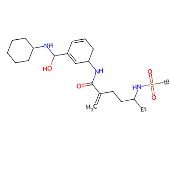 C=C(CCC(CC)NS(=O)(=O)C(C)(C)C)C(=O)NC1C=C(C(O)NC2CCCCC2)C=CC1